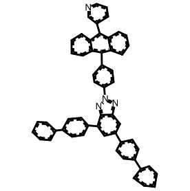 c1ccc(-c2ccc(-c3cc(-c4ccc(-c5ccccc5)cc4)c4nn(-c5ccc(-c6c7ccccc7c(-c7cccnc7)c7ccccc67)cc5)nc4c3)cc2)cc1